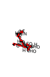 Cc1ccc(CCCC(=O)NCCCCC[C@H](NC(=O)CN2CCN(COC=O)CCN(COC=O)CCN(CC(=O)O)CC2)C(=O)NC(=O)CC(=O)N2CCN(CCCOc3ccc4nccc(C(=O)NCC(=O)N5CC(C)(F)C[C@@H]5C#N)c4c3)CC2)cc1